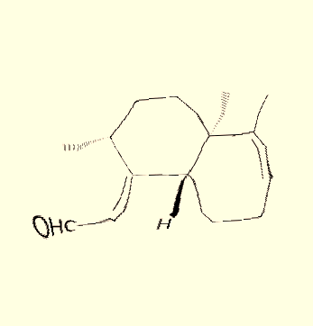 CC1=CCC[C@@H]2/C(=C/C=O)[C@H](C)CC[C@@]12C